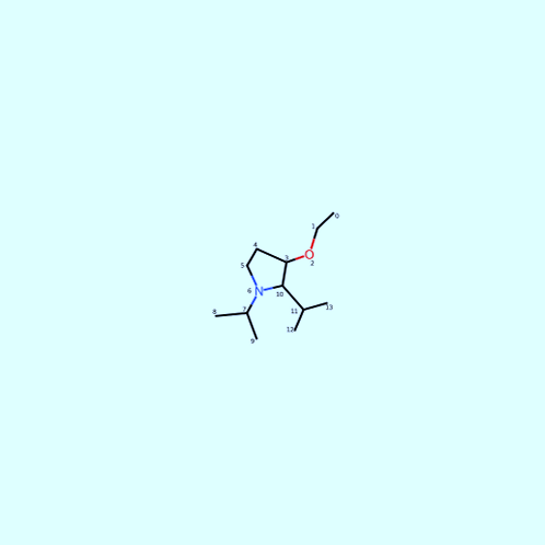 CCOC1CCN(C(C)C)C1C(C)C